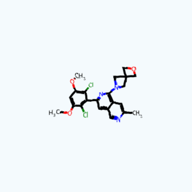 COc1cc(OC)c(Cl)c(-c2cc3cnc(C)cc3c(N3CC4(COC4)C3)n2)c1Cl